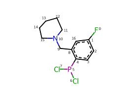 Fc1ccc(P(Cl)Cl)c(CN2CCCCC2)c1